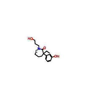 CCC1(c2cccc(O)c2)CCCCN(CCCO)C1=O